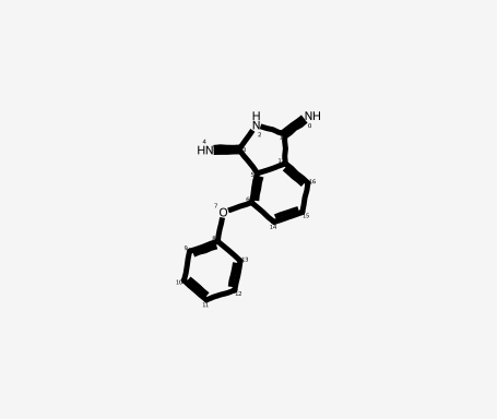 N=C1NC(=N)c2c(Oc3ccccc3)cccc21